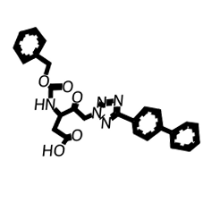 O=C(O)CC(NC(=O)OCc1ccccc1)C(=O)Cn1nnc(-c2ccc(-c3ccccc3)cc2)n1